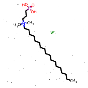 CCCCCCCCCCCCCCCCCC[N+](C)(C)CCCP(=O)(O)O.[Br-]